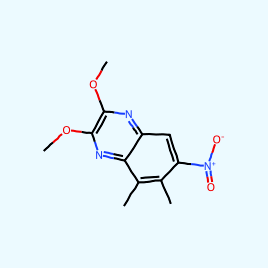 COc1nc2cc([N+](=O)[O-])c(C)c(C)c2nc1OC